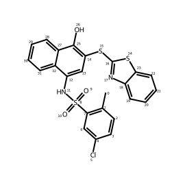 Cc1ccc(Cl)cc1S(=O)(=O)Nc1cc(Sc2nc3ccccc3s2)c(O)c2ccccc12